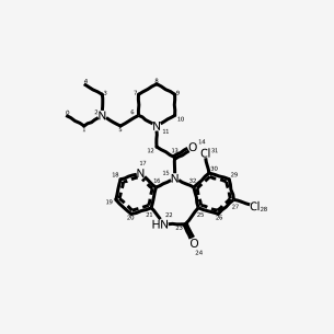 CCN(CC)CC1CCCCN1CC(=O)N1c2ncccc2NC(=O)c2cc(Cl)cc(Cl)c21